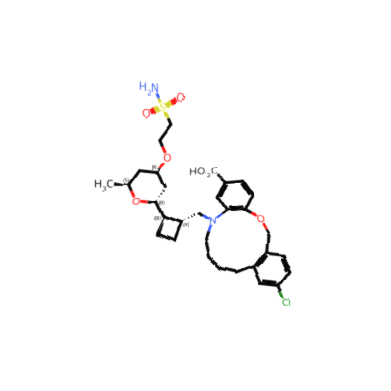 C[C@H]1C[C@@H](OCCS(N)(=O)=O)C[C@H]([C@@H]2CC[C@H]2CN2CCCCc3cc(Cl)ccc3COc3ccc(C(=O)O)cc32)O1